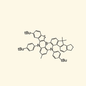 Cc1cc2c3c(c1)N(c1ccc(C(C)(C)C)cc1)c1c(sc4ccc(C(C)(C)C)cc14)B3c1ccc3c(c1N2c1ccc(C(C)(C)C)cc1)-c1ccc2c(c1C3(C)C)CCC2